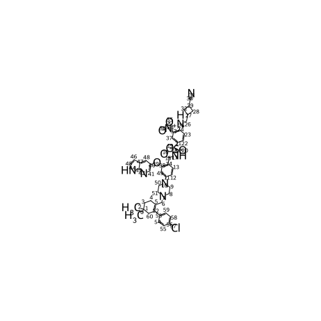 CC1(C)CCC(CN2CCN(c3ccc(C(=O)NS(=O)(=O)c4ccc(NCC5CC(C#N)C5)c([N+](=O)[O-])c4)c(Oc4cnc5[nH]ccc5c4)c3)CC2)=C(c2ccc(Cl)cc2)C1